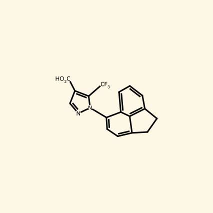 O=C(O)c1cnn(-c2ccc3c4c(cccc24)CC3)c1C(F)(F)F